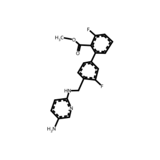 COC(=O)c1c(F)cccc1-c1ccc(CNc2ccc(N)cn2)c(F)c1